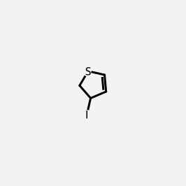 IC1C=CSC1